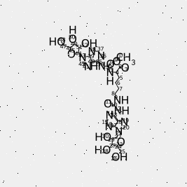 COC(=O)C(CCCCNC(=O)Nc1ncnc2c1ncn2C1OC(CO)C(O)C1O)NC(=O)Nc1ncnc2c1ncn2C1OC(CO)C(O)C1O